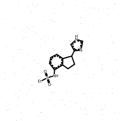 CCS(=O)(=O)Nc1cccc2c1CCC2c1c[nH]cn1